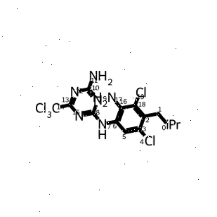 CC(C)Cc1c(Cl)cc(Nc2nc(N)nc(C(Cl)(Cl)Cl)n2)c(N)c1Cl